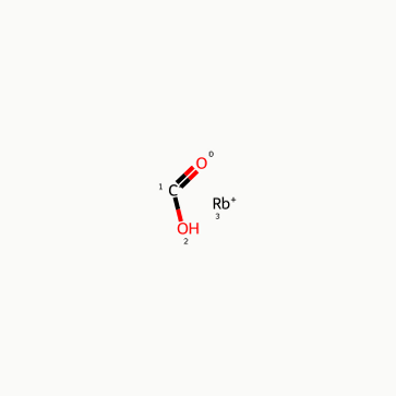 O=[C-]O.[Rb+]